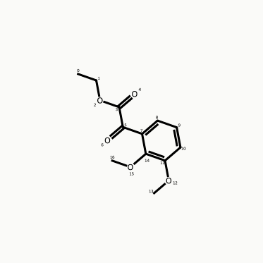 CCOC(=O)C(=O)c1cccc(OC)c1OC